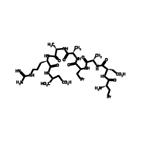 CC(C)C[C@H](NC(=O)[C@H](C)NC(=O)[C@H](CC(=O)O)NC(=O)[C@@H](N)CC(C)C)C(=O)N[C@@H](C)C(=O)N[C@@H](C)C(=O)N[C@@H](CCCNC(=N)N)C(=O)N[C@@H](CC(=O)O)C(=O)O